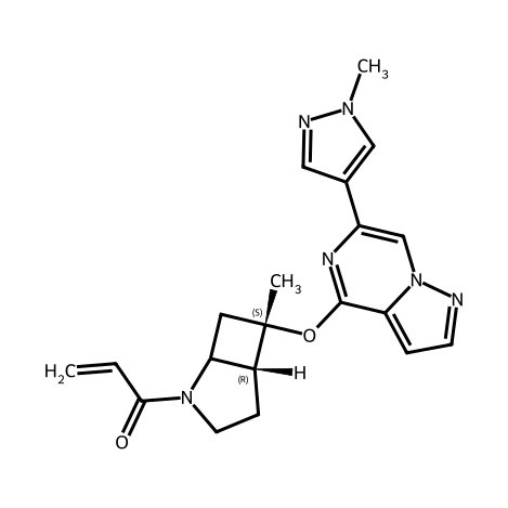 C=CC(=O)N1CC[C@@H]2C1C[C@]2(C)Oc1nc(-c2cnn(C)c2)cn2nccc12